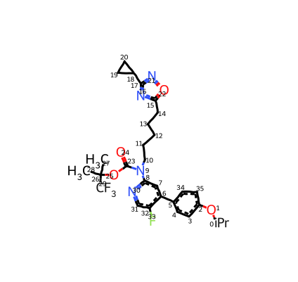 CC(C)Oc1ccc(-c2cc(N(CCCCCc3nc(C4CC4)no3)C(=O)OC(C)(C)C(F)(F)F)ncc2F)cc1